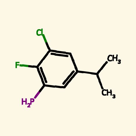 CC(C)c1cc(P)c(F)c(Cl)c1